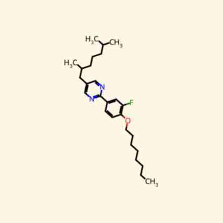 CCCCCCCCOc1ccc(-c2ncc(CC(C)CCCC(C)C)cn2)cc1F